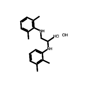 Cc1cccc(NC(C)CNc2c(C)cccc2C)c1C.Cl.Cl